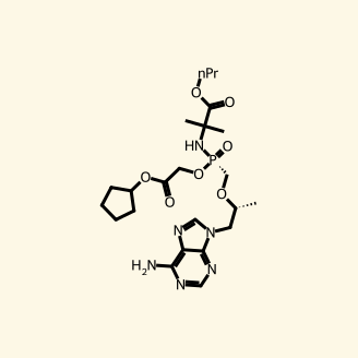 CCCOC(=O)C(C)(C)N[P@](=O)(CO[C@H](C)Cn1cnc2c(N)ncnc21)OCC(=O)OC1CCCC1